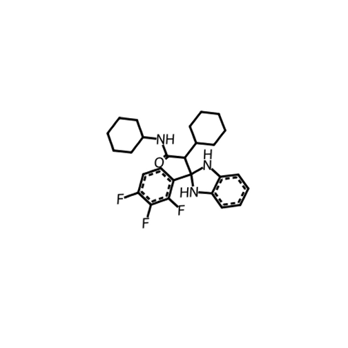 O=C(NC1CCCCC1)C(C1CCCCC1)C1(c2ccc(F)c(F)c2F)Nc2ccccc2N1